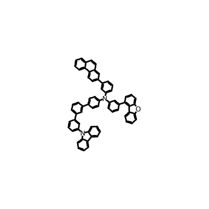 c1cc(-c2ccc(N(c3cccc(-c4ccc5c(ccc6ccccc65)c4)c3)c3cccc(-c4cccc5oc6ccccc6c45)c3)cc2)cc(-c2cccc(-n3c4ccccc4c4ccccc43)c2)c1